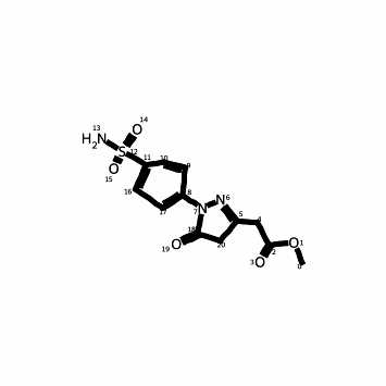 COC(=O)CC1=NN(c2ccc(S(N)(=O)=O)cc2)C(=O)C1